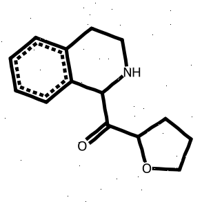 O=C(C1CCCO1)C1NCCc2ccccc21